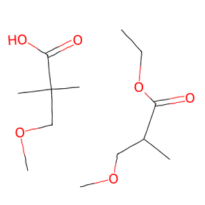 CCOC(=O)C(C)COC.COCC(C)(C)C(=O)O